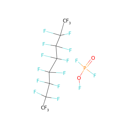 FC(F)(F)C(F)(F)C(F)(F)C(F)(F)C(F)(F)C(F)(F)C(F)(F)C(F)(F)F.O=P(F)(F)OF